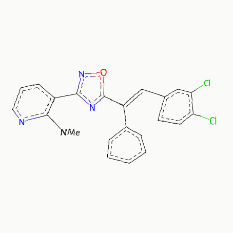 CNc1ncccc1-c1noc(/C(=C/c2ccc(Cl)c(Cl)c2)c2ccccc2)n1